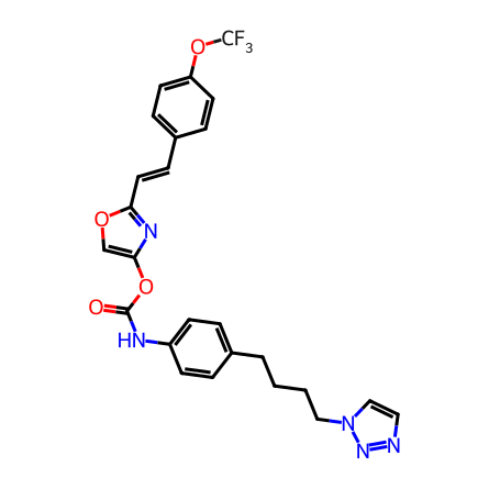 O=C(Nc1ccc(CCCCn2ccnn2)cc1)Oc1coc(C=Cc2ccc(OC(F)(F)F)cc2)n1